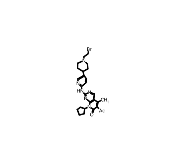 CC(=O)c1c(C)c2cnc(Nc3ccc(C4CCN(CCBr)CC4)cn3)nc2n(C2CCCC2)c1=O